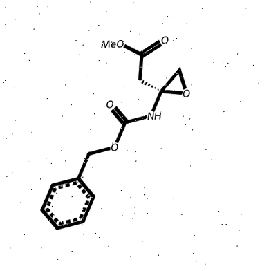 COC(=O)C[C@]1(NC(=O)OCc2ccccc2)CO1